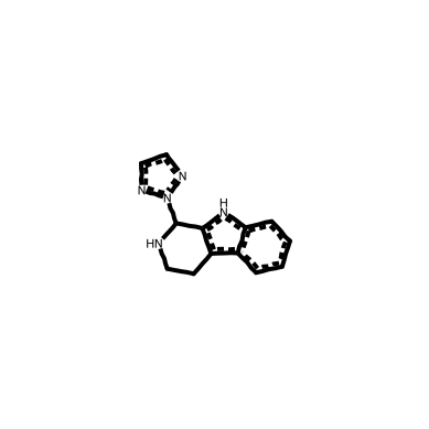 c1ccc2c3c([nH]c2c1)C(n1nccn1)NCC3